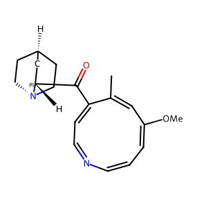 COc1cccnccc(C(=O)[C@H]2C[C@H]3CC[N@@]2CC3)c(C)c1